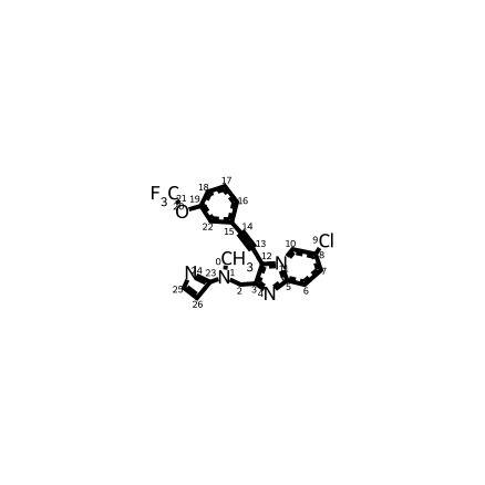 CN(Cc1nc2ccc(Cl)cn2c1C#Cc1cccc(OC(F)(F)F)c1)C1=NC=C1